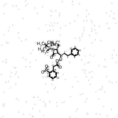 C=C[C@H]1[C@@H]([C@@H](CCc2ccccc2)OOC(=O)Cc2ccccc2[N+](=O)[O-])C(=O)N1[Si](C)(C)C(C)(C)C